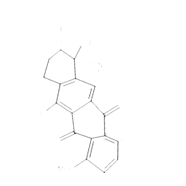 CC[C@H]1CCc2c(cc3c(c2O)C(=O)c2c(OC)cccc2C3=O)[C@@]1(O)C#N